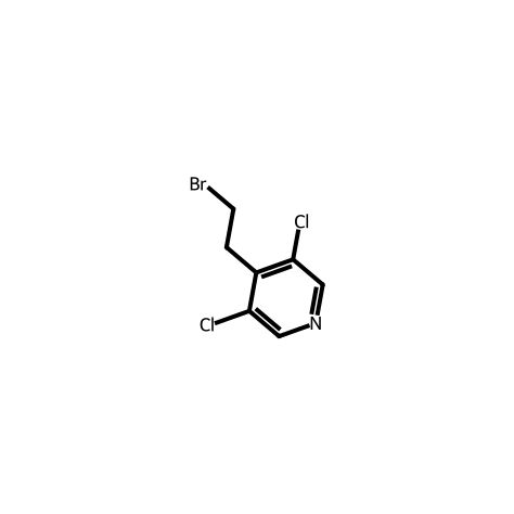 Clc1cncc(Cl)c1CCBr